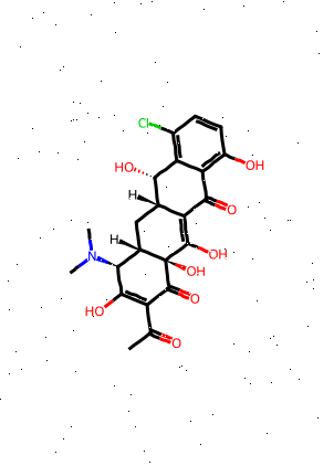 CC(=O)C1=C(O)[C@@H](N(C)C)[C@@H]2C[C@H]3C(=C(O)[C@]2(O)C1=O)C(=O)c1c(O)ccc(Cl)c1[C@H]3O